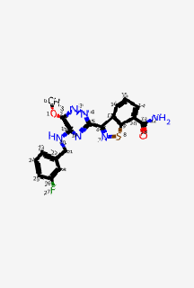 COc1nnc(C2=NSC3C(C(N)=O)=CC=CC23)nc1NCc1cccc(F)c1